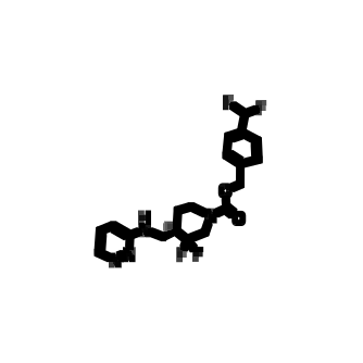 O=C(OCc1ccc(C(F)F)cc1)N1CC[C@H](CNc2cccnn2)C(F)(F)C1